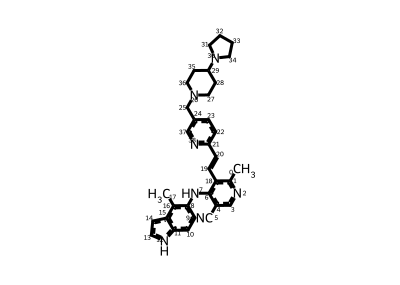 Cc1ncc(C#N)c(Nc2ccc3[nH]ccc3c2C)c1C=Cc1ccc(CN2CCC(N3CCCC3)CC2)cn1